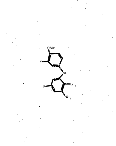 COc1ccc(Nc2cc(F)cc(N)c2C)cc1F